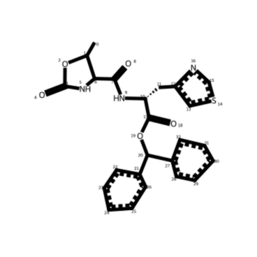 CC1OC(=O)NC1C(=O)N[C@H](Cc1cscn1)C(=O)OC(c1ccccc1)c1ccccc1